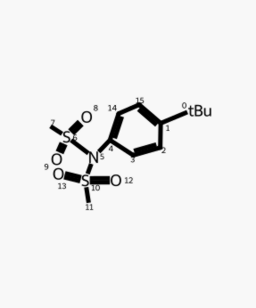 CC(C)(C)c1ccc(N(S(C)(=O)=O)S(C)(=O)=O)cc1